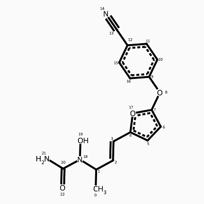 CC(/C=C/c1ccc(Oc2ccc(C#N)cc2)o1)N(O)C(N)=O